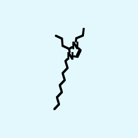 CCCCCCCCCN1C=CN(CCC)C1CCC